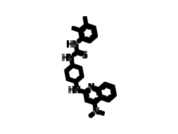 Cc1cccc(NC(=S)NC2CCC(Nc3cc(N(C)C)c4ccccc4n3)CC2)c1C